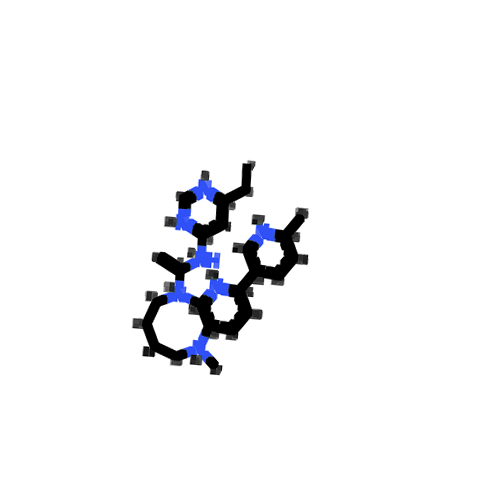 C=C(Nc1cc(CC)ncn1)N1CCCCN(C)c2ccc(-c3ccc(C)nc3)nc21